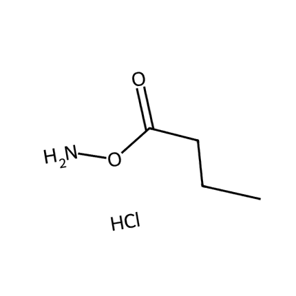 CCCC(=O)ON.Cl